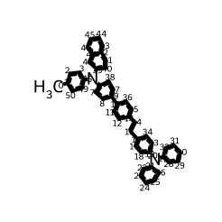 Cc1ccc(N(c2ccc(-c3ccc(/C=C/c4ccc(N(c5ccccc5)c5ccccc5)cc4)cc3)cc2)c2ccc3ccccc3c2)cc1